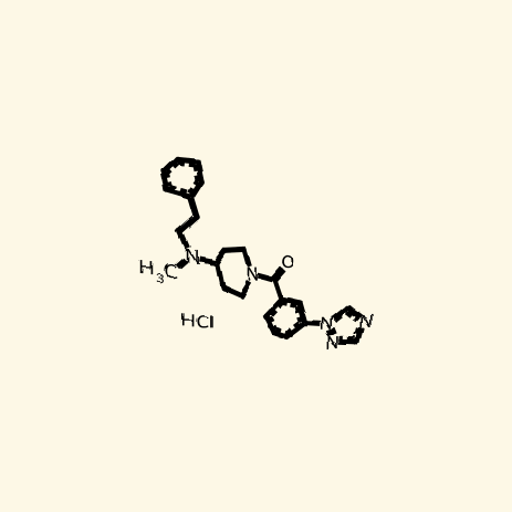 CN(CCc1ccccc1)C1CCN(C(=O)c2cccc(-n3cncn3)c2)CC1.Cl